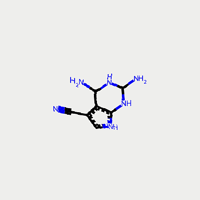 N#Cc1c[nH]c2c1C(N)NC(N)N2